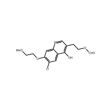 COCCOc1cc2ncc(CCOC=O)c(O)c2cc1Cl